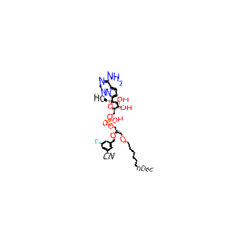 C#C[C@@]1(c2ccc3c(N)ncnn23)O[C@H](COP(=O)(O)OC[C@@H](COCCCCCCCCCCCCCCCC)OCc2cc(F)cc(C#N)c2)[C@@H](O)[C@H]1O